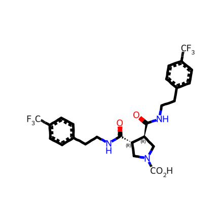 O=C(NCCc1ccc(C(F)(F)F)cc1)[C@H]1CN(C(=O)O)C[C@@H]1C(=O)NCCc1ccc(C(F)(F)F)cc1